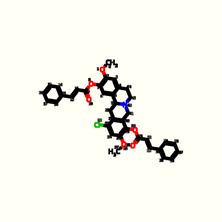 COc1cc2c(cc1OC(=O)C=Cc1ccccc1)C1Cc3c(Cl)cc(OC)c(OC(=O)C=Cc4ccccc4)c3CN1CC2